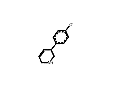 Clc1ccc(C2C=CCNC2)cc1